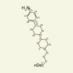 CCCCCCCCCCCCCC1CCC(C2CCC(c3ccc(N)cc3)CC2)CC1